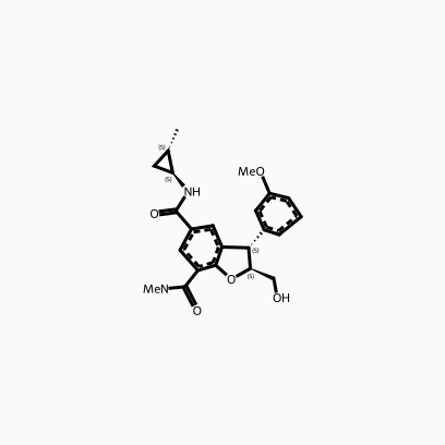 CNC(=O)c1cc(C(=O)N[C@H]2C[C@@H]2C)cc2c1O[C@H](CO)[C@H]2c1cccc(OC)c1